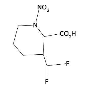 O=C(O)C1C(C(F)F)CCCN1[N+](=O)[O-]